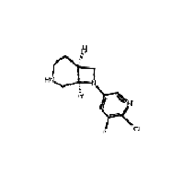 Fc1cc(N2C[C@@H]3CCNC[C@@H]32)cnc1Cl